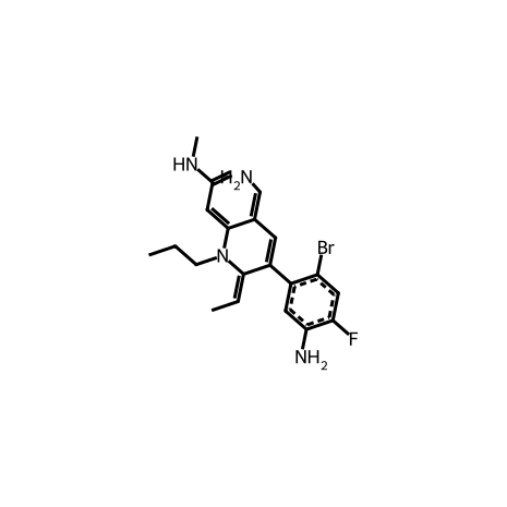 C=C(/C=C1\C(=C/N)C=C(c2cc(N)c(F)cc2Br)/C(=C/C)N1CCC)NC